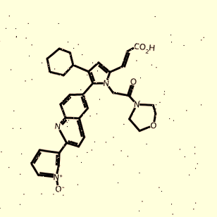 O=C(O)C=Cc1cc(C2CCCCC2)c(-c2ccc3nc(-c4ccc[n+]([O-])c4)ccc3c2)n1CC(=O)N1CCOCC1